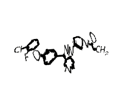 C=CC(=O)N1CC[C@@H](n2nc(-c3ccc(Oc4cccc(Cl)c4F)cc3)c3cnccc32)C1